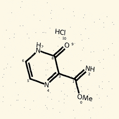 COC(=N)c1ncc[nH]c1=O.Cl